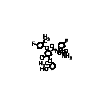 Cc1cc(F)ccc1Oc1cc(Cl)c(Cl)cc1C(=O)Nc1ccc(F)cc1S(N)(=O)=O.Cc1ccccc1O